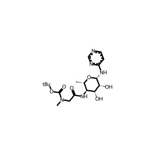 C[C@@H]1O[C@H](Nc2ccncn2)[C@H](O)[C@H](O)[C@H]1NC(=O)CN(C)C(=O)OC(C)(C)C